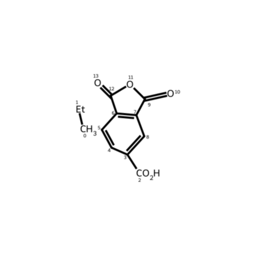 CCC.O=C(O)c1ccc2c(c1)C(=O)OC2=O